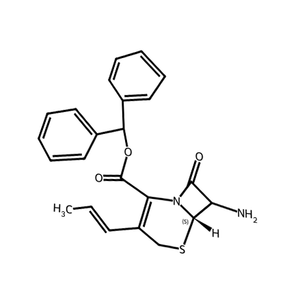 CC=CC1=C(C(=O)OC(c2ccccc2)c2ccccc2)N2C(=O)C(N)[C@@H]2SC1